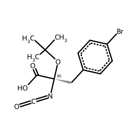 CC(C)(C)O[C@@](Cc1ccc(Br)cc1)(N=C=O)C(=O)O